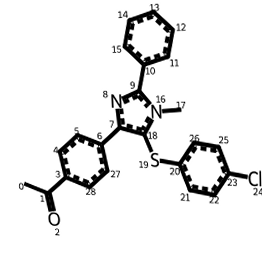 CC(=O)c1ccc(-c2nc(-c3ccccc3)n(C)c2Sc2ccc(Cl)cc2)cc1